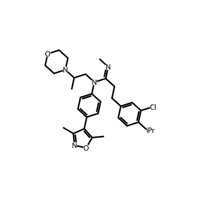 C/N=C(/CCc1ccc(C(C)C)c(Cl)c1)N(CC(C)N1CCOCC1)c1ccc(-c2c(C)noc2C)cc1